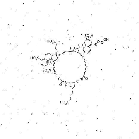 CC1(C)C2=[N+](CCCCCC(=O)NCC(CCCCCC(=O)O)CNC(=O)CCCCCC3(C)/C(=C/C=C/C=C/2)N(CCCS(=O)(=O)O)c2ccc4c(S(=O)(=O)O)cc(S(=O)(=O)O)cc4c23)c2ccc3c(SOOO)cc(S(=O)(=O)O)cc3c21